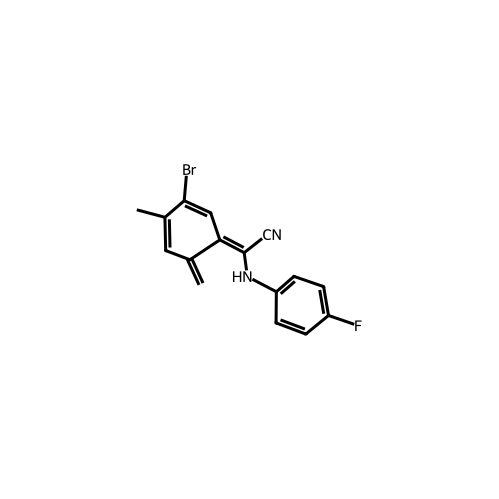 C=c1cc(C)c(Br)c/c1=C(\C#N)Nc1ccc(F)cc1